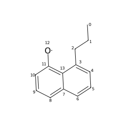 CCCc1cccc2cccc([O])c12